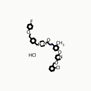 Cc1cc(Oc2ccc(OCc3ccccc3Cl)cn2)ccc1/C=C/C(=O)N1CCN(Cc2ccc(CCOc3ccc(F)cc3)cc2)CC1.Cl